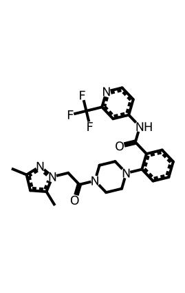 Cc1cc(C)n(CC(=O)N2CCN(c3ccccc3C(=O)Nc3ccnc(C(F)(F)F)c3)CC2)n1